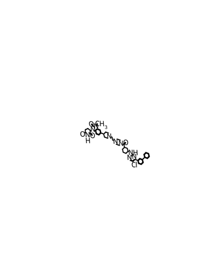 Cn1c(=O)n(C2CCC(=O)NC2=O)c2ccc(C3CCN(CCN4CCN(C(=O)C5CCCC(Nc6ncc(Cl)c(-c7cccc(-c8ccccc8)c7)n6)C5)CC4)CC3)cc21